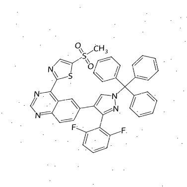 CS(=O)(=O)c1cnc(-c2ncnc3ccc(-c4cn(C(c5ccccc5)(c5ccccc5)c5ccccc5)nc4-c4c(F)cccc4F)cc23)s1